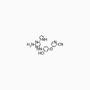 Cl.N#Cc1cc(Oc2ccc(Nc3cc(-c4ccc[nH]4)nc(N)n3)cc2)ccn1